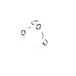 COc1cccc(NC[C@@H]2CCC(=O)N2c2ccc(OCCCN3CCCC3C)cc2)c1